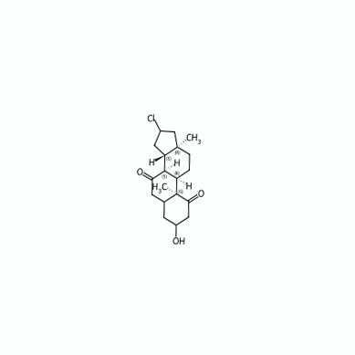 C[C@]12CC[C@@H]3[C@@H](C(=O)CC4CC(O)CC(=O)[C@@]43C)[C@@H]1CC(Cl)C2